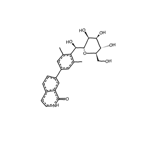 Cc1cc(-c2ccc3cc[nH]c(=O)c3c2)cc(C)c1[C@@H](O)[C@H]1O[C@H](CO)[C@@H](O)[C@H](O)[C@@H]1O